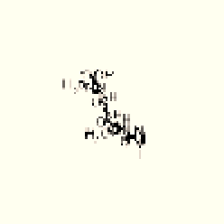 Cn1cc(NC(=O)c2ncc[nH]2)cc1C(=O)NCCC(=O)Nc1cn(C)c(C(=O)O)n1